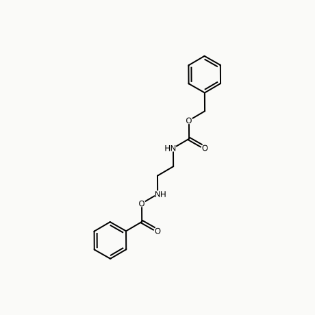 O=C(NCCNOC(=O)c1ccccc1)OCc1ccccc1